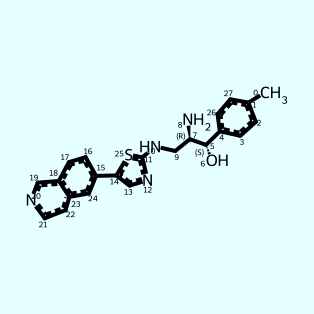 Cc1ccc([C@H](O)[C@H](N)CNc2ncc(-c3ccc4cnccc4c3)s2)cc1